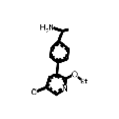 CCOc1ncc(Cl)cc1-c1ccc(C(C)N)cc1